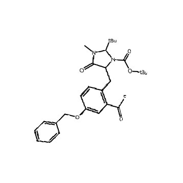 CN1C(=O)C(Cc2ccc(OCc3ccccc3)cc2C(=O)F)N(C(=O)OC(C)(C)C)C1C(C)(C)C